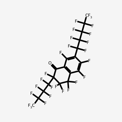 O=C1c2c(F)c(C(F)(F)C(F)(F)C(F)(F)C(F)(F)C(F)(F)F)c(F)c(F)c2C(F)(F)C(F)(F)C1(F)C(F)(F)C(F)(F)C(F)(F)C(F)(F)F